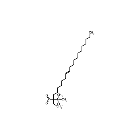 CCCCCCCCCCCC=CCCCCCCC(CC)(P(=O)=O)[N+](C)(C)C